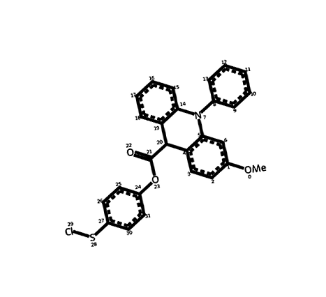 COc1ccc2c(c1)N(c1ccccc1)c1ccccc1C2C(=O)Oc1ccc(SCl)cc1